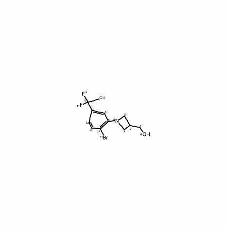 OCC1CN(c2cc(C(F)(F)F)ccc2Br)C1